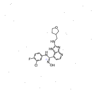 O/N=C(/Nc1ccc(F)c(Cl)c1)c1ccnc2nc(NCC3CCOC3)[nH]c12